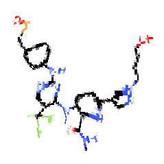 CNC(=O)c1nc(-c2cnn(CCCCO)c2)ccc1Nc1nc(Nc2ccc(CP=O)cc2)ncc1C(F)(F)F